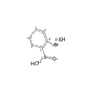 O=S(O)c1ccccc1Br.[KH]